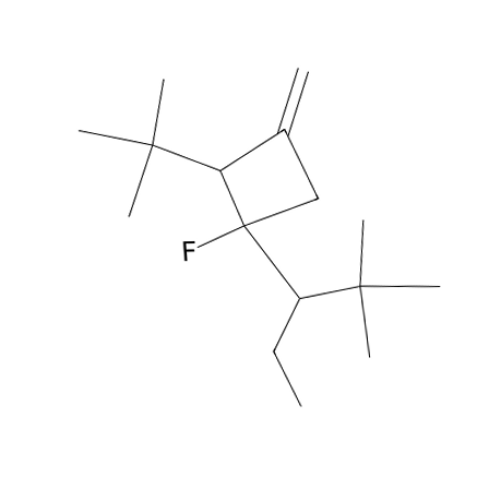 C=C1CC(F)(C(CC)C(C)(C)C)C1C(C)(C)C